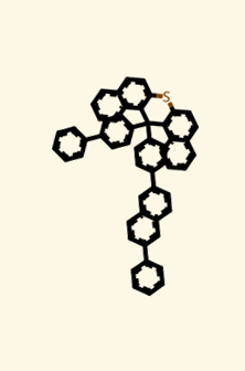 c1ccc(-c2ccc(C3(c4ccc(-c5ccc6cc(-c7ccccc7)ccc6c5)cc4)c4c(ccc5ccccc45)Sc4ccc5ccccc5c43)cc2)cc1